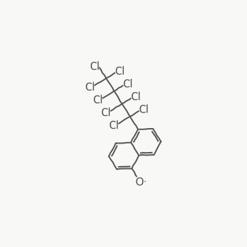 [O]c1cccc2c(C(Cl)(Cl)C(Cl)(Cl)C(Cl)(Cl)C(Cl)(Cl)Cl)cccc12